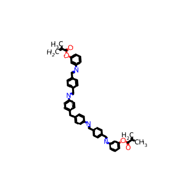 C=C(C)C(=O)Oc1cccc(N=Cc2ccc(C=Nc3ccc(Cc4ccc(N=Cc5ccc(C=Nc6cccc(OC(=O)C(=C)C)c6)cc5)cc4)cc3)cc2)c1